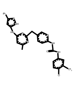 Cc1cc(Nc2cc(C(C)C)n[nH]2)nc(Cc2ccc(NC(=O)Nc3ccc(Cl)c(C(F)(F)F)c3)nc2)n1